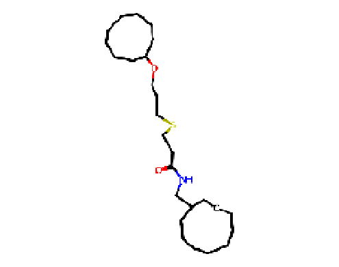 O=C(CCSCCCOC1CCCCCCCC1)NCC1CCCCCCCCC1